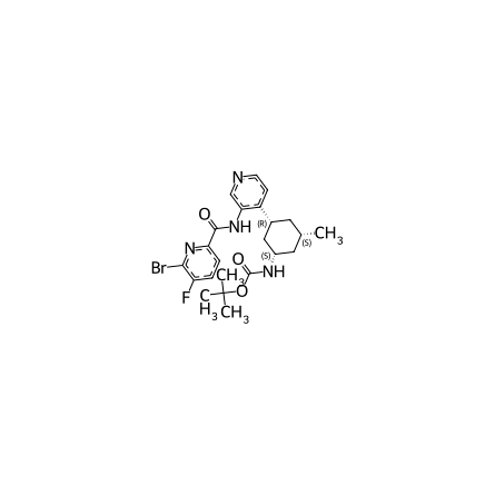 C[C@@H]1C[C@H](NC(=O)OC(C)(C)C)C[C@H](c2ccncc2NC(=O)c2ccc(F)c(Br)n2)C1